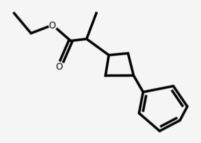 CCOC(=O)C(C)C1CC(c2ccccc2)C1